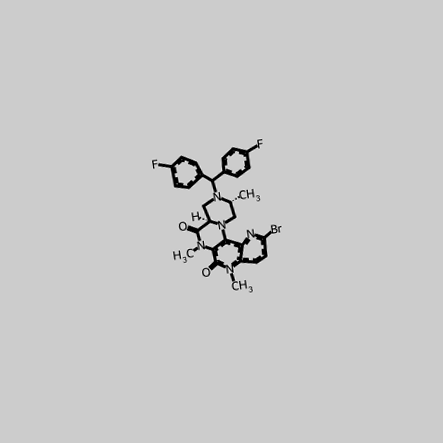 C[C@@H]1CN2c3c(c(=O)n(C)c4ccc(Br)nc34)N(C)C(=O)[C@H]2CN1C(c1ccc(F)cc1)c1ccc(F)cc1